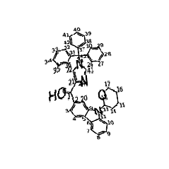 OC(c1ccc2c3ccccc3n(C3CCCCO3)c2c1)c1cn(C(c2ccccc2)(c2ccccc2)c2ccccc2)cn1